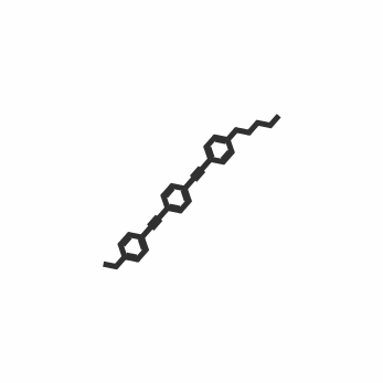 CCCCCc1ccc(C#Cc2ccc(C#Cc3ccc(CC)cc3)cc2)cc1